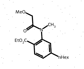 CCCCCCc1ccc(C(=O)OCC)c(N(C)C(=O)COC)c1